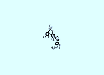 CC[C@@H](C(=O)Nc1ccc(C(N)=O)c(F)c1)n1cc2c(cc1=O)-c1c(ccc(Cl)c1F)C[C@@H](C(F)(F)F)CO2